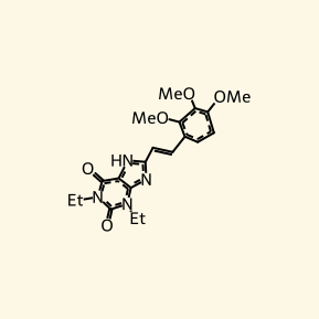 CCn1c(=O)c2[nH]c(C=Cc3ccc(OC)c(OC)c3OC)nc2n(CC)c1=O